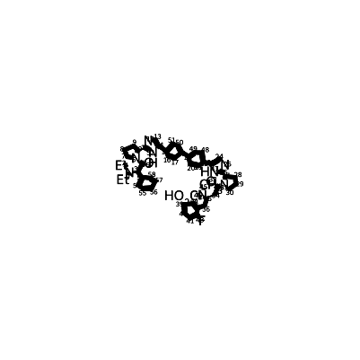 CCN(CC)[C@@H](C(=O)N1CCC[C@H]1c1ncc(-c2ccc(-c3ccc(-c4cnc([C@@H]5CCCN5C(=O)C[C@@H](Cc5ccccc5F)N(C)C(=O)O)[nH]4)cc3)cc2)[nH]1)c1ccccc1